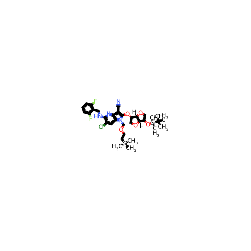 CC(C)(C)[Si](C)(C)OC1CO[C@H]2[C@@H]1OC[C@H]2Oc1c(C#N)c2nc(NCc3c(F)cccc3F)c(Cl)cc2n1COCC[Si](C)(C)C